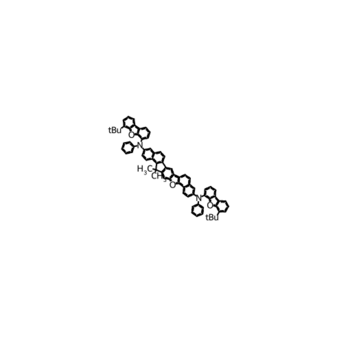 CC(C)(C)c1cccc2c1oc1c(N(c3ccccc3)c3ccc4c5c(ccc4c3)-c3cc4c(cc3C5(C)C)oc3c5ccc(N(c6ccccc6)c6cccc7c6oc6c(C(C)(C)C)cccc67)cc5ccc43)cccc12